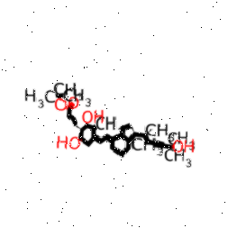 C=C1/C(=C\C=C2/CCC[C@@]3(C)C2CC[C@@H]3[C@H](C)CC#CC(C)(C)O)C[C@@H](O)[C@H](CCCC(=O)OC(C)(C)C)[C@@H]1O